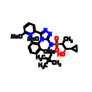 COc1cccc(-c2nnc(N(CC[Si](C)(C)C)S(=O)(=O)[C@@H](C)[C@@H](O)C3CC3)n2-c2c(OC)cccc2OC)n1